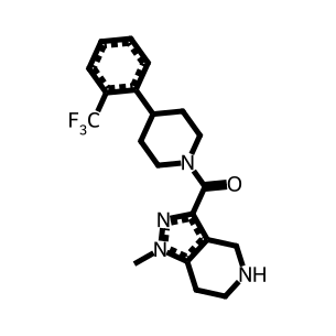 Cn1nc(C(=O)N2CCC(c3ccccc3C(F)(F)F)CC2)c2c1CCNC2